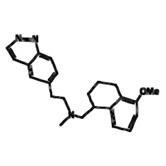 COc1cccc2c1CCCC2CN(C)CCc1ccc2nnccc2c1